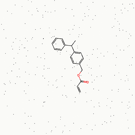 C=CC(=O)OCc1ccc(C(C)c2ccccc2)cc1